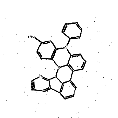 CC(C)(C)c1ccc2c(c1)N(c1ccccc1)c1cccc3c1B2n1c2ncccc2c2cccc-3c21